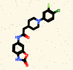 O=C(CC1CCN(c2ccc(Cl)c(F)c2)CC1)Nc1ccc2[nH]c(=O)oc2c1